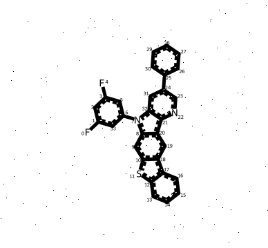 Fc1cc(F)cc(-n2c3cc4sc5ccccc5c4cc3c3ncc(-c4ccccc4)cc32)c1